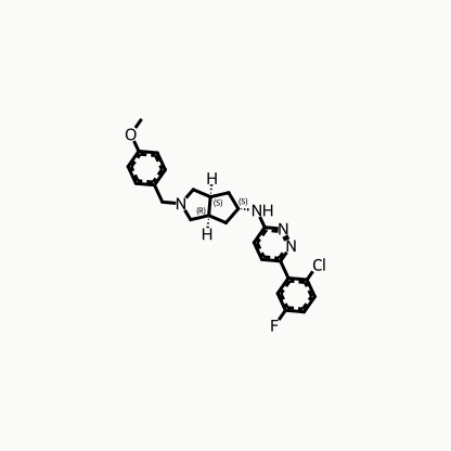 COc1ccc(CN2C[C@H]3C[C@H](Nc4ccc(-c5cc(F)ccc5Cl)nn4)C[C@H]3C2)cc1